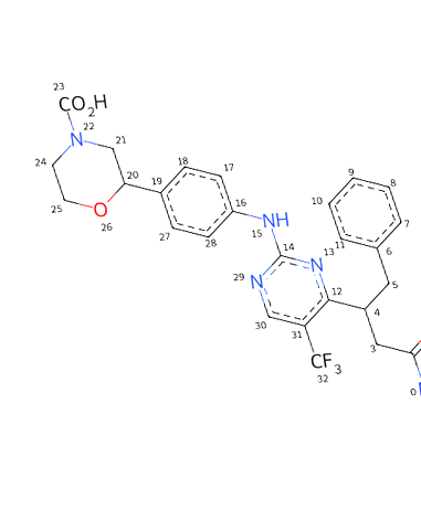 NC(=O)CC(Cc1ccccc1)c1nc(Nc2ccc(C3CN(C(=O)O)CCO3)cc2)ncc1C(F)(F)F